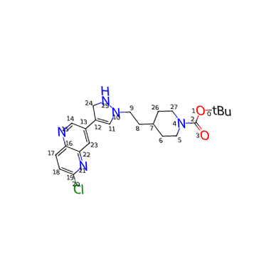 CC(C)(C)OC(=O)N1CCC(CCN2C=C(c3cnc4ccc(Cl)nc4c3)CN2)CC1